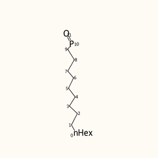 CCCCCCCCCCCCCCCP=O